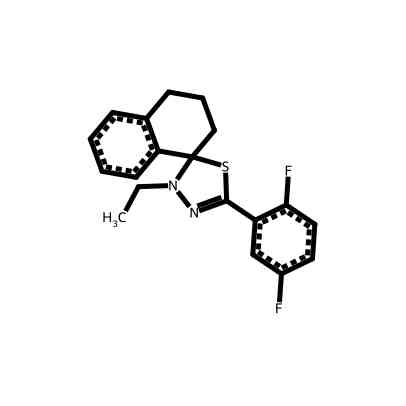 CCN1N=C(c2cc(F)ccc2F)SC12CCCc1ccccc12